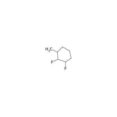 CC1CCCC(F)C1F